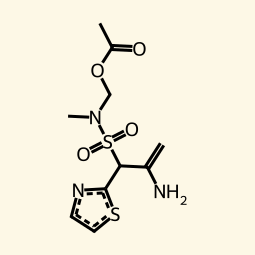 C=C(N)C(c1nccs1)S(=O)(=O)N(C)COC(C)=O